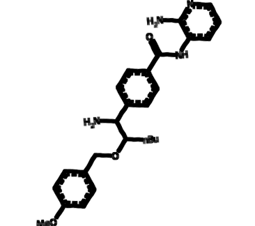 CCCCC(OCc1ccc(OC)cc1)C(N)c1ccc(C(=O)Nc2cccnc2N)cc1